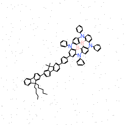 CCCCCC1(CCCCC)c2ccccc2-c2ccc(-c3ccc4c(c3)C(C)(C)c3cc(-c5ccc(-c6cc7c8c(c6)N(c6ccccc6)c6ccc9c%10c6B8c6c(ccc8c6B%10c6c(cccc6N9c6ccccc6)N8c6ccccc6)N7c6ccccc6)cc5)ccc3-4)cc21